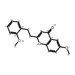 COc1ccc2oc(CCc3ccccc3OC)cc(=O)c2c1